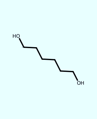 O[CH]CCCCCO